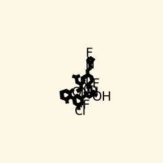 Cc1cccc(C)c1-c1cc(Cl)c(F)c(C(CC(=O)O)NC(=O)C(CC(C)C)n2cc(CCN3CC(F)C3)cc(F)c2=O)c1